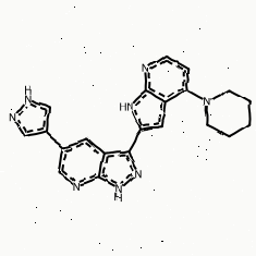 c1cc(N2CCCCC2)c2cc(-c3n[nH]c4ncc(-c5cn[nH]c5)cc34)[nH]c2n1